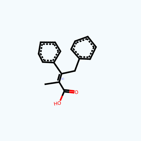 C/C(C(=O)O)=C(/Cc1ccccc1)c1ccccc1